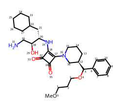 COCCCOC(c1ccccc1)[C@@H]1CCCN(c2c(N[C@@H](CC3CCCCC3)[C@@H](O)CN)c(=O)c2=O)C1